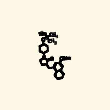 COc1cc(CC2CCN([C@H]3CC[C@@H](O[Si](C)(C)C(C)(C)C)CC3)C2=O)c2ccccc2c1